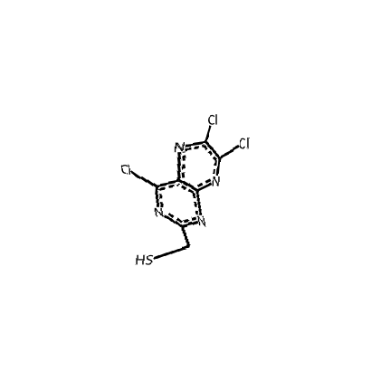 SCc1nc(Cl)c2nc(Cl)c(Cl)nc2n1